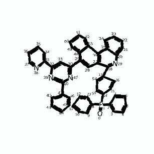 O=P(c1ccccc1)(c1ccccc1)c1ccc(-c2nc3ccccc3c3c2cc(-c2cc(-c4ccccn4)nc(-c4ccccc4)n2)c2ccccc23)cc1